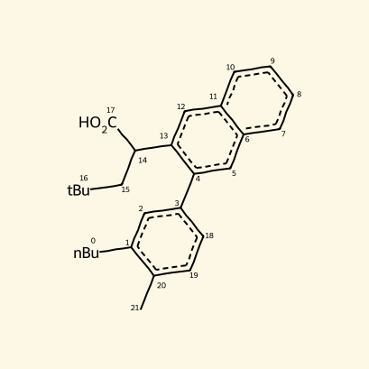 CCCCc1cc(-c2cc3ccccc3cc2C(CC(C)(C)C)C(=O)O)ccc1C